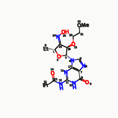 CC[C@H]1O[C@@H](n2cnc3c(=O)[nH]c(NC(=O)C(C)C)nc32)[C@H](OCCOC)C1=NO